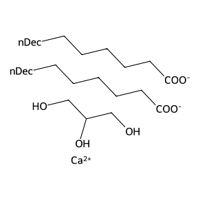 CCCCCCCCCCCCCCCC(=O)[O-].CCCCCCCCCCCCCCCC(=O)[O-].OCC(O)CO.[Ca+2]